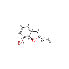 CC1Cc2cccc(Br)c2O1